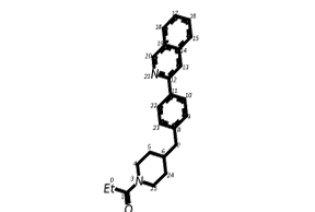 CCC(=O)N1CCC(Cc2ccc(-c3cc4ccccc4cn3)cc2)CC1